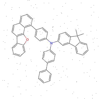 CC1(C)c2ccccc2-c2cc(N(c3ccc(-c4ccccc4)cc3)c3ccc(-c4cccc5ccc6c7ccccc7oc6c45)cc3)ccc21